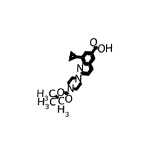 CC(C)(C)OC(=O)N1CCN(c2ccc3cc(C(=O)O)cc(C4CC4)c3n2)CC1